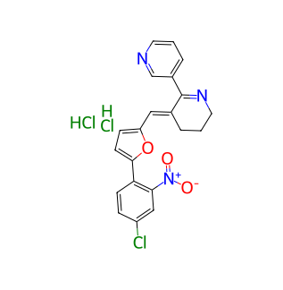 Cl.Cl.O=[N+]([O-])c1cc(Cl)ccc1-c1ccc(C=C2CCCN=C2c2cccnc2)o1